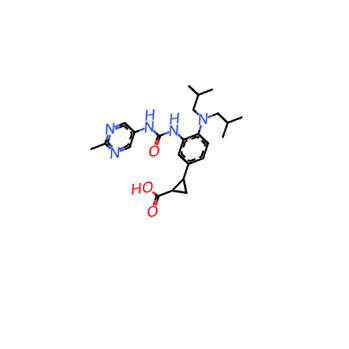 Cc1ncc(NC(=O)Nc2cc(C3CC3C(=O)O)ccc2N(CC(C)C)CC(C)C)cn1